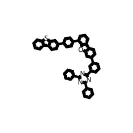 c1ccc(-c2nc(-c3ccccc3)nc(-c3cccc(-c4ccc5c(c4)oc4c(-c6ccc(-c7ccc8c(c7)sc7ccccc78)cc6)cccc45)c3)n2)cc1